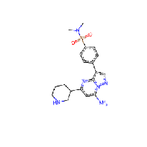 CN(C)S(=O)(=O)c1ccc(-c2cnn3c(N)cc(C4CCCNC4)nc23)cc1